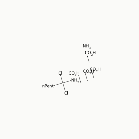 CC(=O)O.CC(=O)O.CC(=O)O.CC(=O)O.CCCCCC(N)(Cl)Cl.N